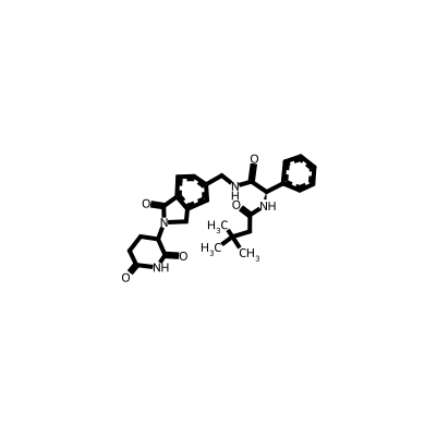 CC(C)(C)CC(=O)N[C@H](C(=O)NCc1ccc2c(c1)CN(C1CCC(=O)NC1=O)C2=O)c1ccccc1